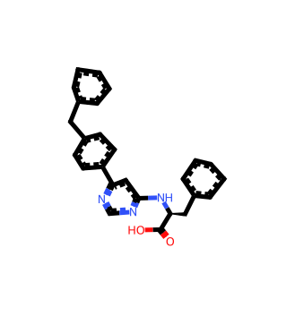 O=C(O)[C@H](Cc1ccccc1)Nc1cc(-c2ccc(Cc3ccccc3)cc2)ncn1